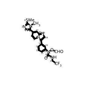 CSc1nnc(-c2ccn3c(-c4cccc(N(OC=O)C(=O)NCC(F)(F)F)c4)cnc3c2)n1C